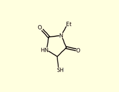 CCN1C(=O)NC(S)C1=O